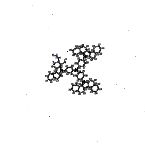 C=Cc1c(/C=C\C)ccc2c3c4ccccc4ccc3n(-c3ccc(N(c4ccc(-n5c6ccc7ccccc7c6c6ccc7ccccc7c65)cc4)c4ccc(-n5c6ccc7ccccc7c6c6ccc7ccccc7c65)cc4)cc3)c12